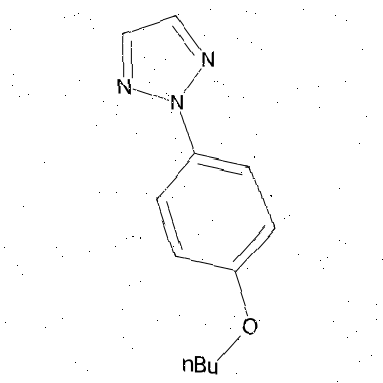 CCCCOc1ccc(-n2nccn2)cc1